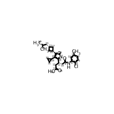 Cc1ccc(Cl)c(NC(=O)C[C@H](CC(=O)O)c2noc([C@H]3C[C@H](CC(C)C)C3)c2C2CC2)c1